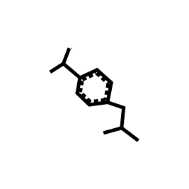 [CH2]C(C)c1ccc(CC(C)C)cc1